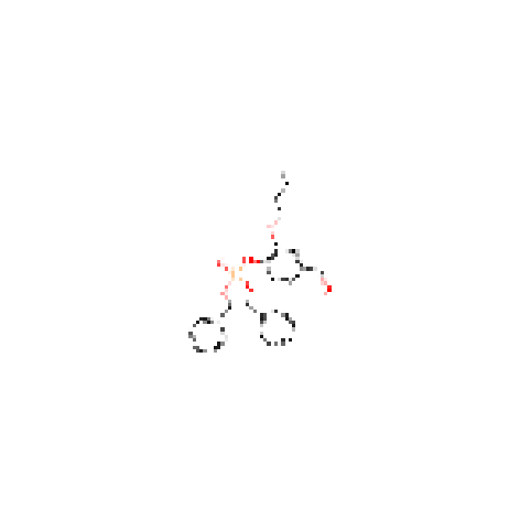 CCCCOc1cc(C=O)ccc1OP(=O)(OCc1ccccc1)OCc1ccccc1